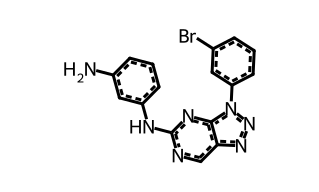 Nc1cccc(Nc2ncc3nnn(-c4cccc(Br)c4)c3n2)c1